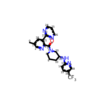 Cc1cnc(C(=O)N2CCCC(Nc3ccc(C(F)(F)F)cn3)C2)c(-c2ncccn2)c1